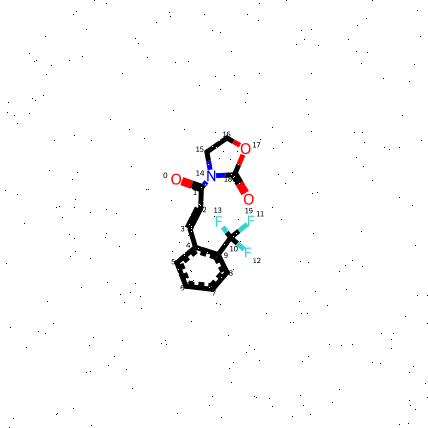 O=C(C=Cc1ccccc1C(F)(F)F)N1CCOC1=O